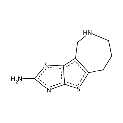 Nc1nc2sc3c(c2s1)CNCCC3